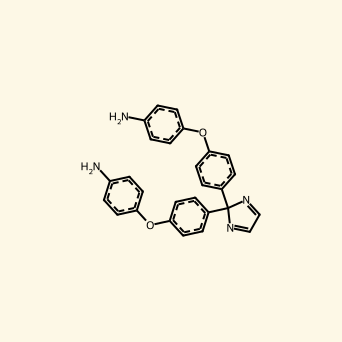 Nc1ccc(Oc2ccc(C3(c4ccc(Oc5ccc(N)cc5)cc4)N=CC=N3)cc2)cc1